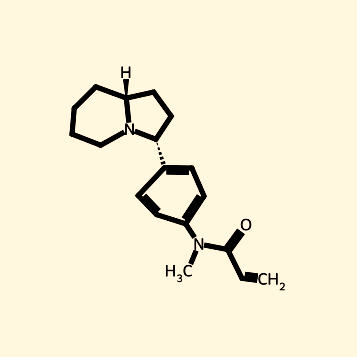 C=CC(=O)N(C)c1ccc([C@H]2CC[C@H]3CCCCN32)cc1